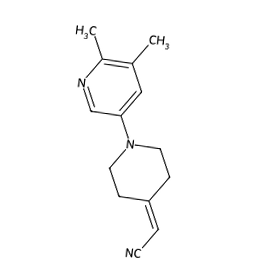 Cc1cc(N2CCC(=CC#N)CC2)cnc1C